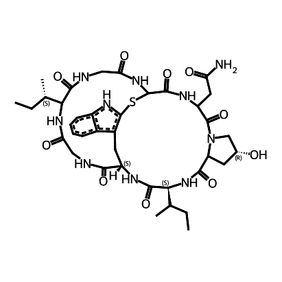 CCC(C)[C@@H]1NC(=O)C2C[C@@H](O)CN2C(=O)C(CC(N)=O)NC(=O)C2NC(=O)CNC(=O)C([C@@H](C)CC)NC(=O)CNC(=O)[C@H](Cc3c([nH]c4ccccc34)S2)NC1=O